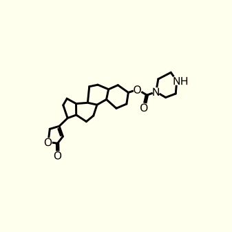 O=C1C=C(C2CCC3C2CCC2C4CCC(OC(=O)N5CCNCC5)CC4CCC23)CO1